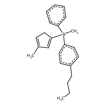 CCCCc1ccc([Si](C)(C2=CC(C)=CC2)c2ccccc2)cc1